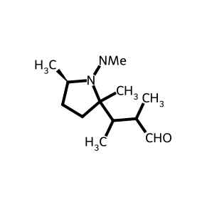 CNN1[C@H](C)CCC1(C)C(C)C(C)C=O